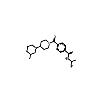 CC1CCCN(C2CCN(C(=O)c3ccc(C(=O)NC(C)C(C)C)cc3)CC2)C1